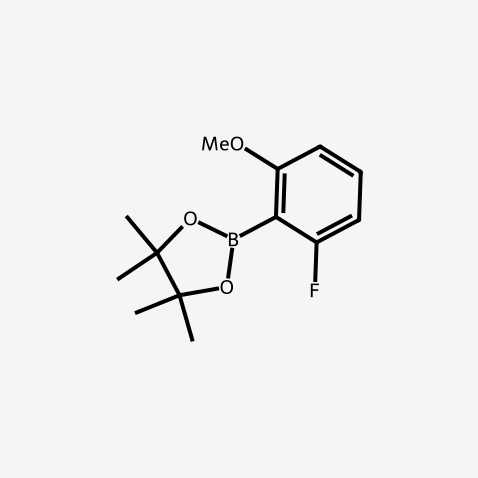 COc1cccc(F)c1B1OC(C)(C)C(C)(C)O1